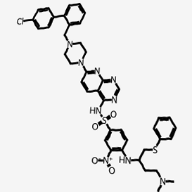 CN(C)CCC(CSc1ccccc1)Nc1ccc(S(=O)(=O)Nc2ncnc3nc(N4CCN(Cc5ccccc5-c5ccc(Cl)cc5)CC4)ccc23)cc1[N+](=O)[O-]